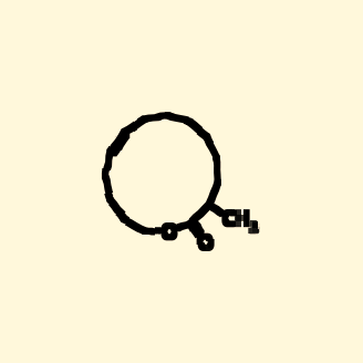 CC1CCCCCC/C=C\CCCCOC1=O